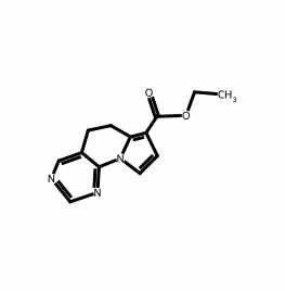 CCOC(=O)c1ccn2c1CCc1cncnc1-2